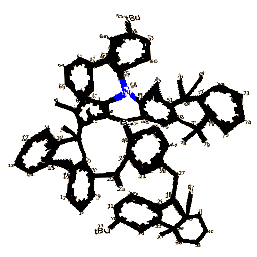 Cc1cc2c3c(C)c1C1(C)c4ccccc4-c4cccc(c41)C(C)c1cc(CC4c5ccc(C(C)(C)C)cc5C5(C)CCCCC45C)ccc1B3c1cc3c(cc1N2c1ccc(C(C)(C)C)cc1-c1ccccc1)C(C)(C)c1ccccc1C3(C)C